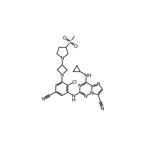 CS(=O)(=O)C1CCN(C2CN(c3cc(C#N)cc(Nc4nc(NC5CC5)c5ncc(C#N)n5n4)c3Cl)C2)C1